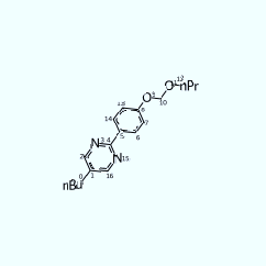 CCCCc1cnc(-c2ccc(OCOCCC)cc2)nc1